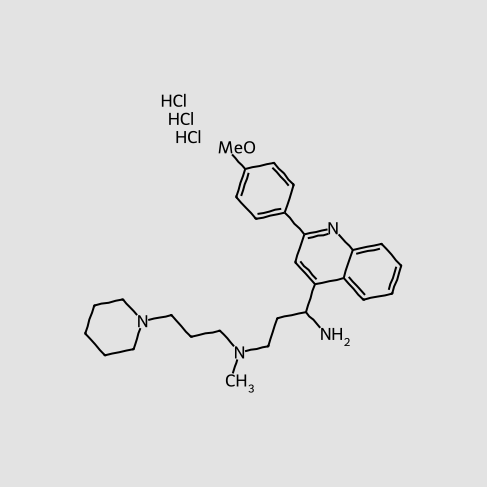 COc1ccc(-c2cc(C(N)CCN(C)CCCN3CCCCC3)c3ccccc3n2)cc1.Cl.Cl.Cl